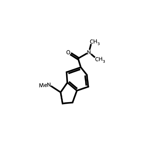 CNC1CCc2ccc(C(=O)N(C)C)cc21